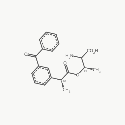 C[C@H](C(=O)O[C@H](C)C(N)C(=O)O)c1cccc(C(=O)c2ccccc2)c1